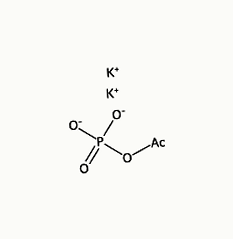 CC(=O)OP(=O)([O-])[O-].[K+].[K+]